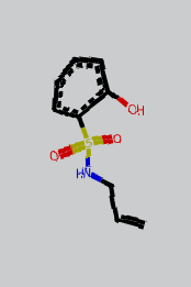 C=CCNS(=O)(=O)c1ccccc1O